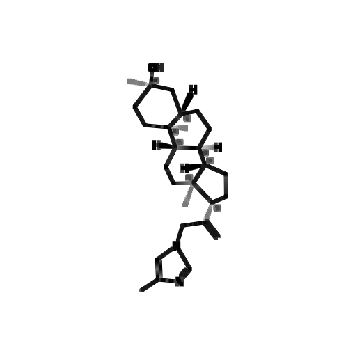 C=C(Cn1cnc(C)c1)[C@H]1CC[C@H]2[C@@H]3CC[C@H]4C[C@](C)(O)CC[C@]4(C)[C@H]3CC[C@]12C